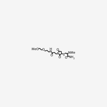 CN[C@@H](CSC1CC(=O)N(CCC(=O)NCCCOCCOC)C1=O)C(N)=O